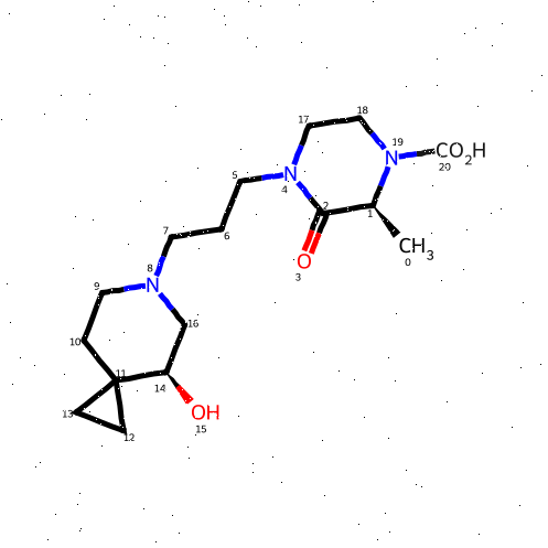 C[C@H]1C(=O)N(CCCN2CCC3(CC3)[C@H](O)C2)CCN1C(=O)O